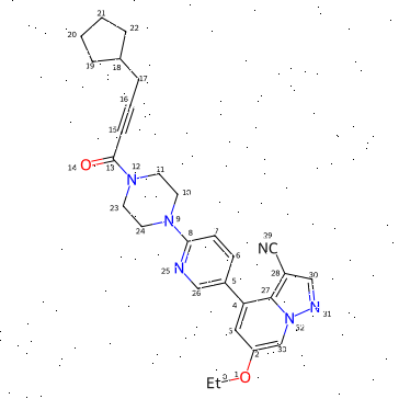 CCOc1cc(-c2ccc(N3CCN(C(=O)C#CCC4CCCC4)CC3)nc2)c2c(C#N)cnn2c1